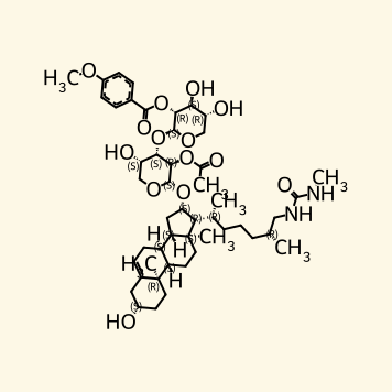 CNC(=O)NC[C@H](C)CCC[C@@H](C)[C@H]1[C@@H](O[C@@H]2OC[C@H](O)[C@H](O[C@@H]3OC[C@@H](O)[C@H](O)[C@H]3OC(=O)c3ccc(OC)cc3)[C@H]2OC(C)=O)C[C@H]2[C@@H]3CC=C4C[C@@H](O)CC[C@]4(C)[C@H]3CC[C@]12C